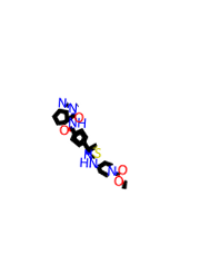 CCOC(=O)N1CCC(Nc2nc(-c3ccc(C(=O)NC4(C(=O)N(C)C#N)CCCCC4)cc3)cs2)CC1